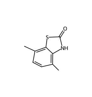 Cc1ccc(C)c2sc(=O)[nH]c12